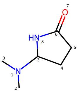 CN(C)C1CCC(=O)N1